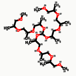 COCC(C)OCC(C)OCC(C)OB(OC(C)COC(C)COC(C)COC)OC(C)COC(C)COC(C)COC